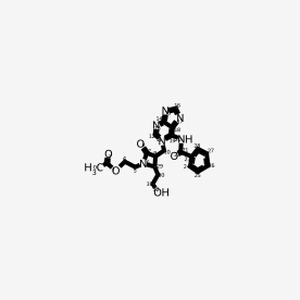 CC(=O)OCCN1C(=O)C(Cn2cnc3ncnc-3c2NC(=O)c2ccccc2)C1CCO